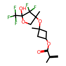 C=C(C)C(=O)OC1CC(C)(OC2(C)COC(O)(C(F)(F)F)C2(F)F)C1